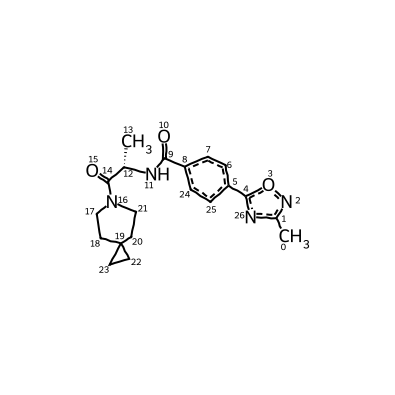 Cc1noc(-c2ccc(C(=O)N[C@@H](C)C(=O)N3CCC4(CC3)CC4)cc2)n1